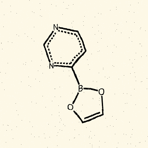 C1=COB(c2ccncn2)O1